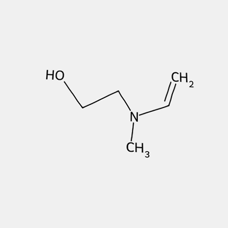 C=CN(C)CCO